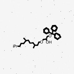 CC(C)CCCC(C)CCCC(C)CCOCC(O)COC(c1ccccc1)(c1ccccc1)c1ccccc1